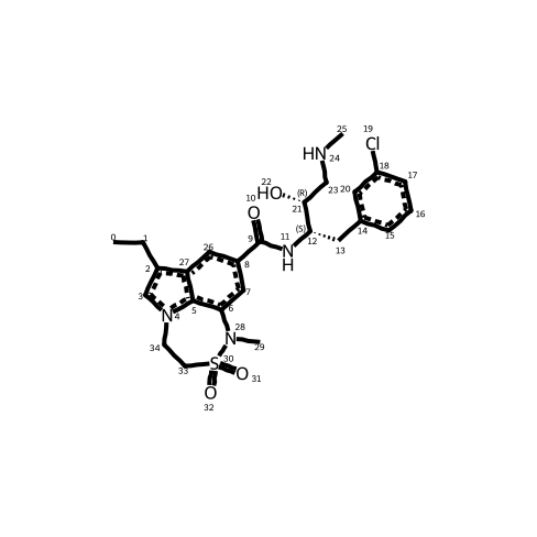 CCc1cn2c3c(cc(C(=O)N[C@@H](Cc4cccc(Cl)c4)[C@H](O)CNC)cc13)N(C)S(=O)(=O)CC2